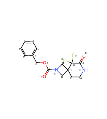 O=C(OCc1ccccc1)N1CC2(CCNC(=O)C2(F)F)C1